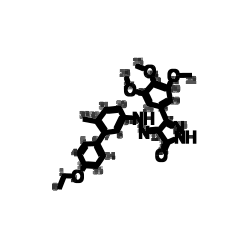 CCOc1ccc(-c2cc(N/N=C3/C(=O)NN=C3c3cc(OC)c(OC)c(OC)c3)ccc2C)cc1